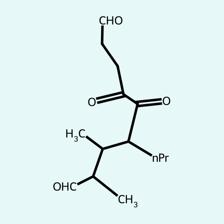 CCCC(C(=O)C(=O)CCC=O)C(C)C(C)C=O